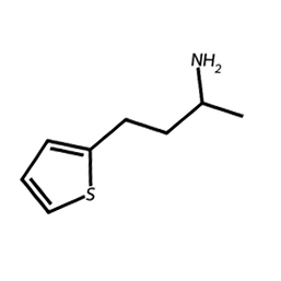 CC(N)CCc1cccs1